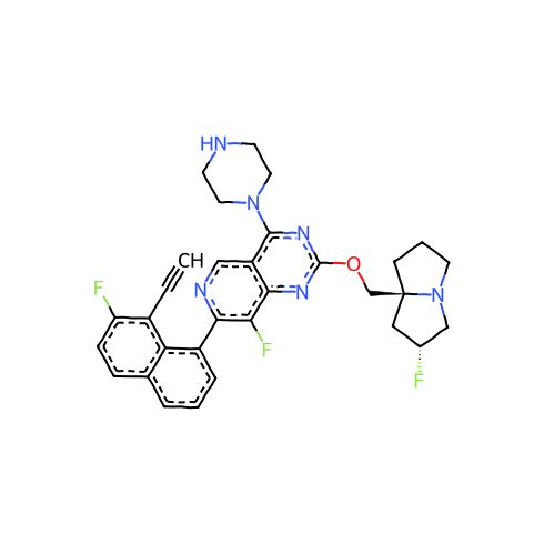 C#Cc1c(F)ccc2cccc(-c3ncc4c(N5CCNCC5)nc(OC[C@@]56CCCN5C[C@H](F)C6)nc4c3F)c12